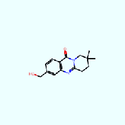 CC1(C)CCc2nc3cc(CO)ccc3c(=O)n2C1